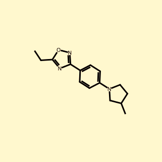 CCc1nc(-c2ccc(N3CCC(C)C3)cc2)no1